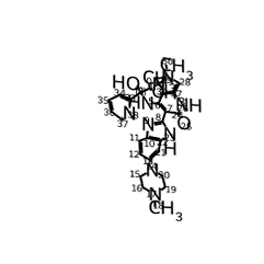 CC(C)[C@@](O)(Nc1c(-c2nc3ccc(N4CCN(C)CC4)cc3[nH]2)c(=O)[nH]c2cn(C)nc12)c1ccccn1